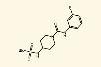 CC(C)(C)S(=O)(=O)NC1CCN(C(=O)Nc2cccc(F)c2)CC1